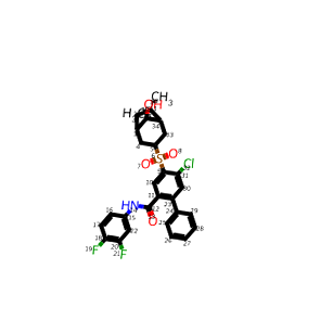 C[C@H]1CC2CC(S(=O)(=O)c3cc(C(=O)Nc4ccc(F)c(F)c4)c(-c4ccccc4)cc3Cl)CC1[C@]2(C)O